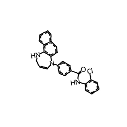 O=C(Nc1ccccc1Cl)c1ccc(N2C=CCNc3c2ccc2ccccc32)cc1